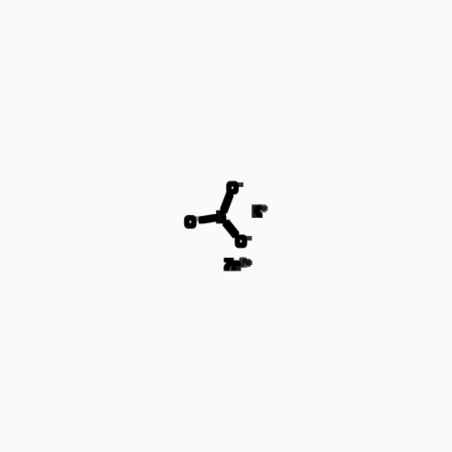 [K+].[O-]B([O-])[O-].[Zn+2]